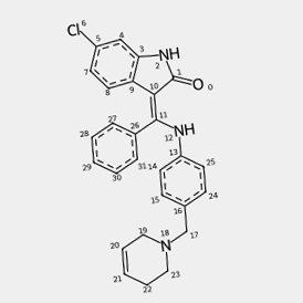 O=C1Nc2cc(Cl)ccc2/C1=C(/Nc1ccc(CN2CC=CCC2)cc1)c1ccccc1